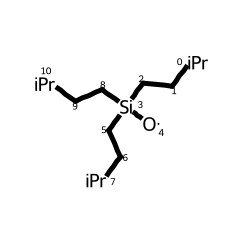 CC(C)CC[Si]([O])(CCC(C)C)CCC(C)C